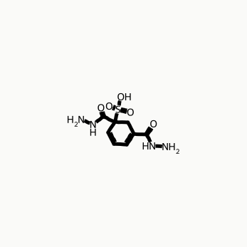 NNC(=O)C1=CC=CC(C(=O)NN)(S(=O)(=O)O)C1